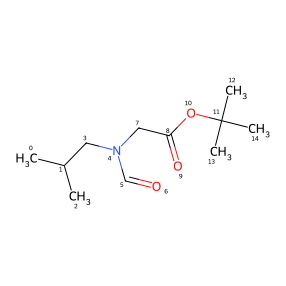 CC(C)CN(C=O)CC(=O)OC(C)(C)C